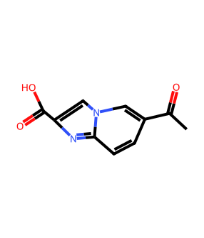 CC(=O)c1ccc2nc(C(=O)O)cn2c1